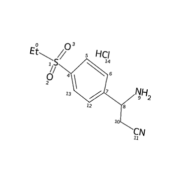 CCS(=O)(=O)c1ccc(C(N)CC#N)cc1.Cl